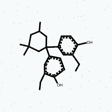 CCc1cc(C2(c3ccc(O)c(CC)c3)CC(C)CC(C)(C)C2)ccc1O